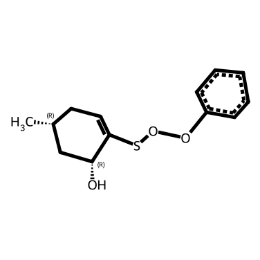 C[C@@H]1CC=C(SOOc2ccccc2)[C@H](O)C1